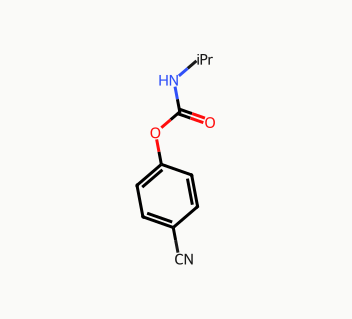 CC(C)NC(=O)Oc1ccc(C#N)cc1